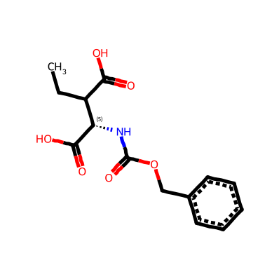 CCC(C(=O)O)[C@H](NC(=O)OCc1ccccc1)C(=O)O